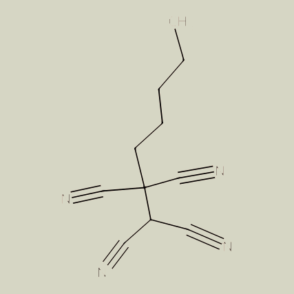 CCCCCC(C#N)(C#N)C(C#N)C#N